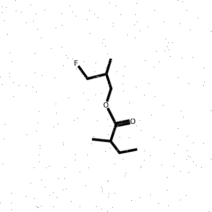 CCC(C)C(=O)OCC(C)CF